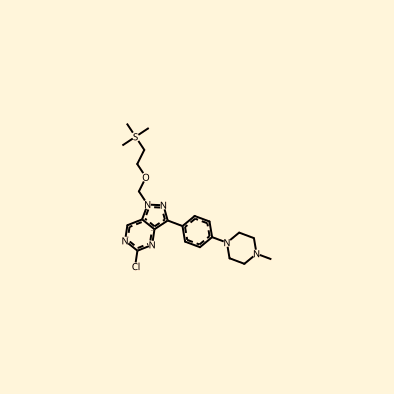 CN1CCN(c2ccc(-c3nn(COCCS(C)(C)C)c4cnc(Cl)nc34)cc2)CC1